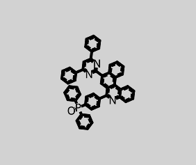 O=P(c1ccccc1)(c1ccccc1)c1ccc(-c2nc3ccccc3c3c2cc(-c2nc(-c4ccccc4)cc(-c4ccccc4)n2)c2ccccc23)cc1